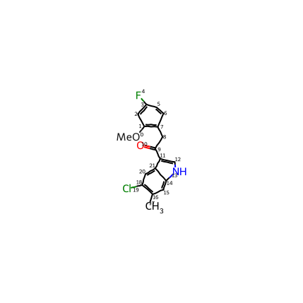 COc1cc(F)ccc1CC(=O)c1c[nH]c2cc(C)c(Cl)cc12